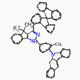 CC1(C)C2=C(NC(c3ccc(N4c5ccccc5C5=Cc6ccccc6CC54)c(C#N)c3)N=C2c2cccc3c2-c2ccccc2C32c3ccccc3-c3ccccc32)c2ccccc21